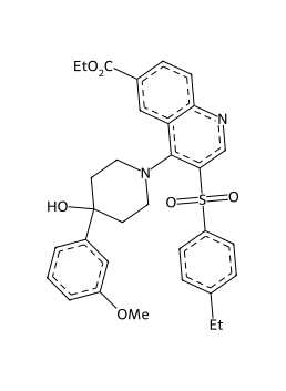 CCOC(=O)c1ccc2ncc(S(=O)(=O)c3ccc(CC)cc3)c(N3CCC(O)(c4cccc(OC)c4)CC3)c2c1